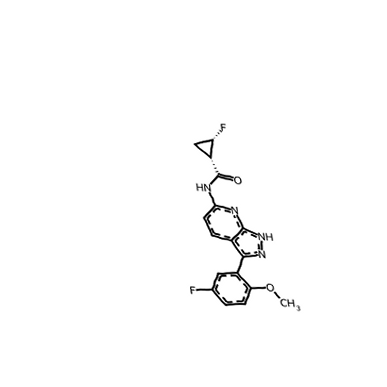 COc1ccc(F)cc1-c1n[nH]c2nc(NC(=O)[C@@H]3C[C@@H]3F)ccc12